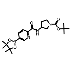 CC(C)(C)OC(=O)N1CCC(NC(=O)c2ccc(B3OC(C)(C)C(C)(C)O3)cn2)C1